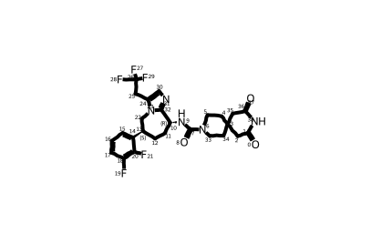 O=C1CC2(CCN(C(=O)N[C@@H]3CC[C@@H](c4cccc(F)c4F)Cn4c(CC(F)(F)F)cnc43)CC2)CC(=O)N1